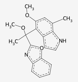 COc1cc(C)c2[nH]ccc2c1C(C)(OC)c1nc2ccccc2o1